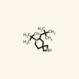 CC(C)(C)CC1CC2(CCN1C(C)(C)C)CNC2